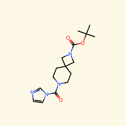 CC(C)(C)OC(=O)N1CC2(CCN(C(=O)n3ccnc3)CC2)C1